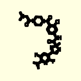 CN(C)CC(=O)N1CCN(C(=O)c2ccc(NC(=O)C3(C)N=CC(c4cc(F)c(N(C)C)nc4F)=N3)cc2Cl)CC1